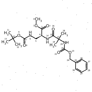 COC(=O)[C@H](CNC(=O)OC(C)(C)C)NC(=O)C(C)(C)NC(=O)OCc1ccccc1